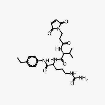 CCc1ccc(NC(=O)[C@H](CCCNC(N)=O)NC(=O)[C@@H](NC(=O)CCN2C(=O)C=CC2=O)C(C)C)cc1